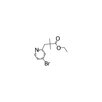 CCOC(=O)C(C)(C)Cc1cc(Br)ccn1